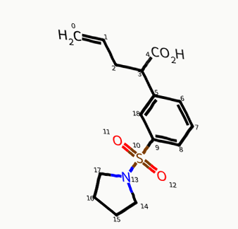 C=CCC(C(=O)O)c1cccc(S(=O)(=O)N2CCCC2)c1